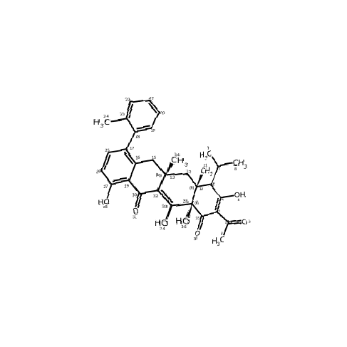 CC(=O)C1=C(O)C(C(C)C)[C@@]2(C)C[C@@]3(C)Cc4c(-c5ccccc5C)ccc(O)c4C(=O)C3=C(O)[C@@]2(O)C1=O